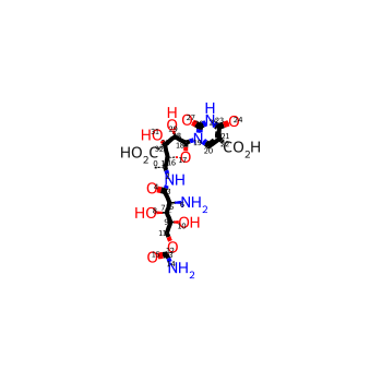 C[C@@H](NC(=O)[C@@H](N)[C@H](O)[C@@H](O)COC(N)=O)[C@H]1OC(n2cc(C(=O)O)c(=O)[nH]c2=O)[C@H](O)[C@@]1(O)C(=O)O